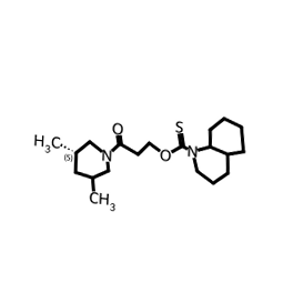 CC1C[C@H](C)CN(C(=O)CCOC(=S)N2CCCC3CCCCC32)C1